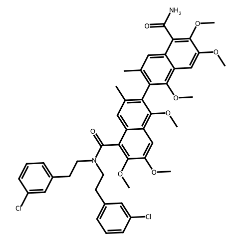 COc1cc2c(OC)c(-c3c(C)cc4c(C(=O)N(CCc5cccc(Cl)c5)CCc5cccc(Cl)c5)c(OC)c(OC)cc4c3OC)c(C)cc2c(C(N)=O)c1OC